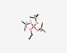 CCO[Si](O[SiH](C)C)(O[SiH](C)C)O[SiH](C)C